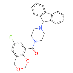 O=C(c1cc(F)cc2c1OCOC2)N1CCN(C2c3ccccc3-c3ccccc32)CC1